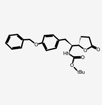 CC(C)(C)OC(=O)N[C@@H](Cc1ccc(OCc2ccccc2)cc1)[C@@H]1CCC(=O)O1